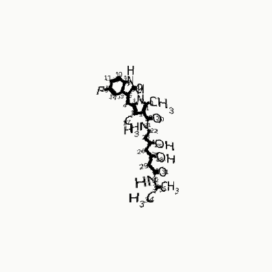 Cc1[nH]c(/C=C2\C(=O)Nc3ccc(F)cc32)c(C)c1C(=O)NCCC(O)CC(O)CC(=O)NC(C)C